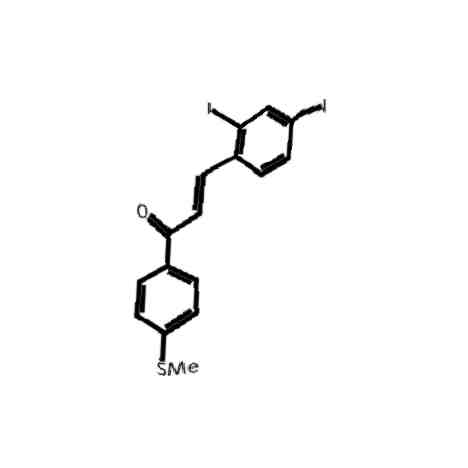 CSc1ccc(C(=O)C=Cc2ccc(I)cc2I)cc1